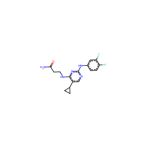 NC(=O)CCNc1nc(Nc2ccc(F)c(F)c2)ncc1C1CC1